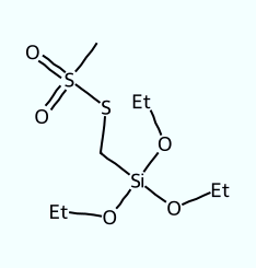 CCO[Si](CSS(C)(=O)=O)(OCC)OCC